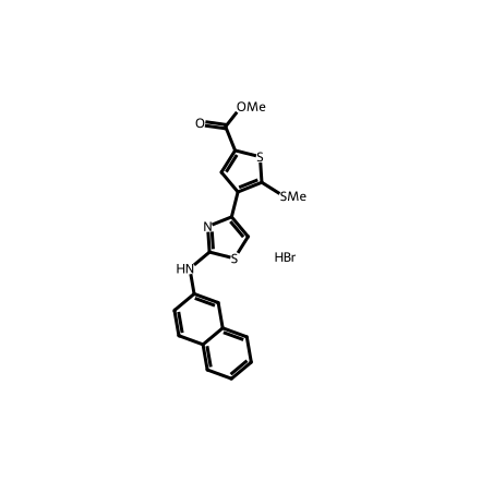 Br.COC(=O)c1cc(-c2csc(Nc3ccc4ccccc4c3)n2)c(SC)s1